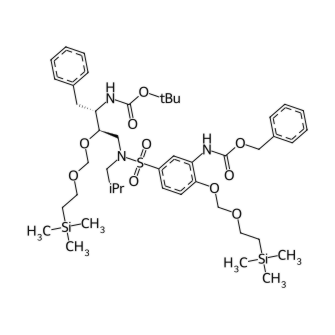 CC(C)CN(C[C@@H](OCOCC[Si](C)(C)C)[C@H](Cc1ccccc1)NC(=O)OC(C)(C)C)S(=O)(=O)c1ccc(OCOCC[Si](C)(C)C)c(NC(=O)OCc2ccccc2)c1